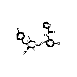 C[C@@H]1C(=C=O)N(Cc2ccc(F)cc2)[C@@H](C)CN1COc1ccc(Cl)cc1NC(=O)c1ccco1